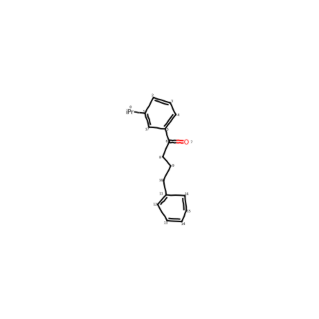 CC(C)c1cccc(C(=O)CCCc2ccccc2)c1